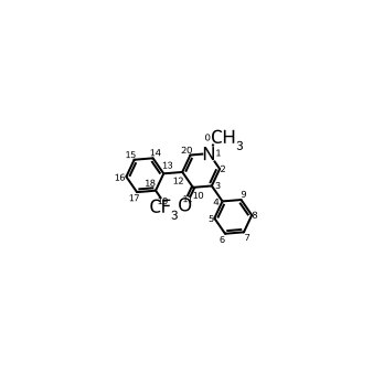 Cn1cc(-c2ccccc2)c(=O)c(-c2ccccc2C(F)(F)F)c1